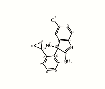 NC1=Nc2ccc(Cl)cc2C1(O)c1ccccc1C1CC1